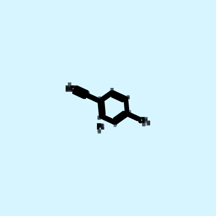 C#Cc1ccc(C)cc1.[Pt]